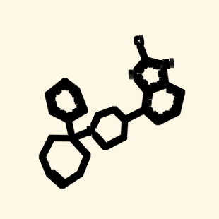 Clc1nc2c(C3CCN(C4(c5ccccc5)CCC=CCC4)CC3)cccc2[nH]1